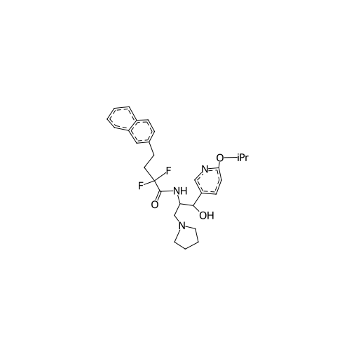 CC(C)Oc1ccc(C(O)C(CN2CCCC2)NC(=O)C(F)(F)CCc2ccc3ccccc3c2)cn1